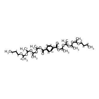 CCCCOC(C)OC(C)OC(C)OC(C)OC(=O)c1ccc(C(=O)OC(C)OC(C)OC(C)OC(C)OCCCC)cc1